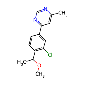 COC(C)c1ccc(-c2cc(C)ncn2)cc1Cl